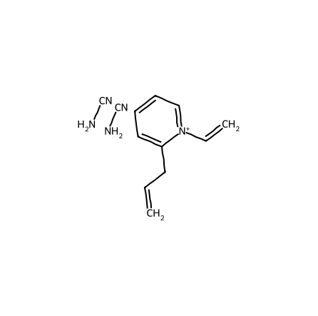 C=CCc1cccc[n+]1C=C.N#CN.N#CN